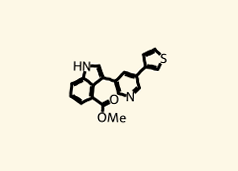 COC(=O)c1cccc2[nH]cc(-c3cncc(-c4ccsc4)c3)c12